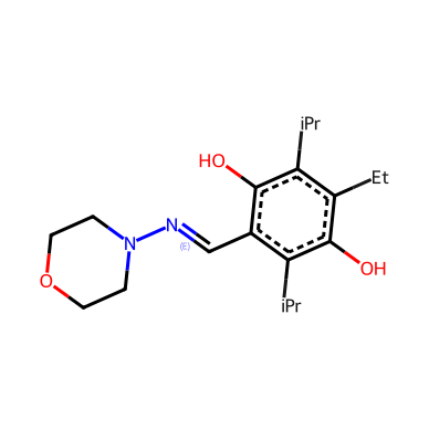 CCc1c(O)c(C(C)C)c(/C=N/N2CCOCC2)c(O)c1C(C)C